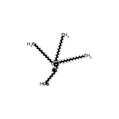 CCCCCCCCCCCCCCCCCCOc1cc(Cn2cc(CCCCCCCCC(=O)O)nn2)cc(OCCCCCCCCCCCCCCCCCC)c1OCCCCCCCCCCCCCCCCCC